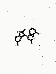 Cc1ccc2[nH]c(C)c(-c3cc(C)nc4c(Br)cccc34)c2c1